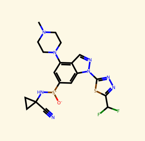 CN1CCN(c2cc([S+]([O-])NC3(C#N)CC3)cc3c2cnn3-c2nnc(C(F)F)s2)CC1